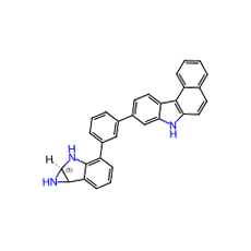 c1cc(-c2ccc3c(c2)[nH]c2ccc4ccccc4c23)cc(-c2cccc3c2N[C@@H]2NC32)c1